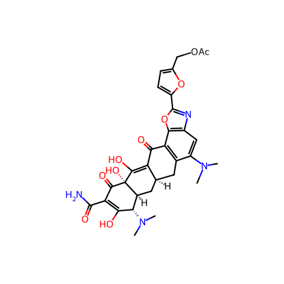 CC(=O)OCc1ccc(-c2nc3cc(N(C)C)c4c(c3o2)C(=O)C2=C(O)[C@]3(O)C(=O)C(C(N)=O)=C(O)[C@@H](N(C)C)[C@@H]3C[C@@H]2C4)o1